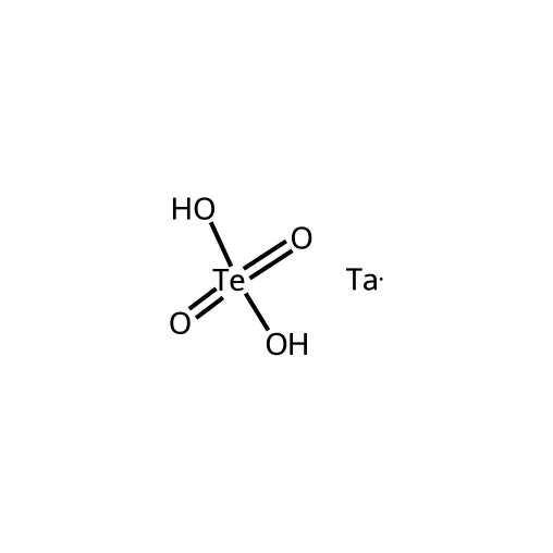 O=[Te](=O)(O)O.[Ta]